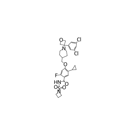 O=C(NS(=O)(=O)N1CCC1)c1cc(C2CC2)c(OCC2CCN(C3(c4cc(Cl)cc(Cl)c4)COC3)CC2)cc1F